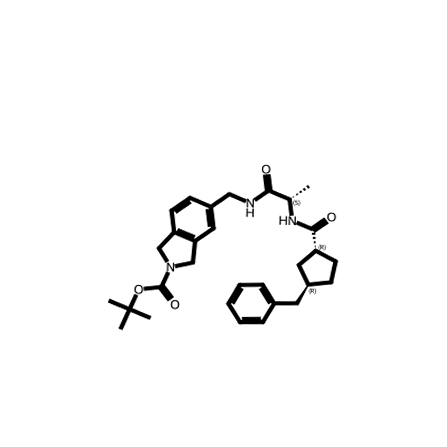 C[C@H](NC(=O)[C@@H]1CC[C@@H](Cc2ccccc2)C1)C(=O)NCc1ccc2c(c1)CN(C(=O)OC(C)(C)C)C2